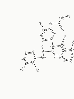 CCNC(=O)Nc1cc(-n2c(C(C)Nc3ncnc(N)c3C#N)nc3cccc(Cl)c3c2=O)ccc1F